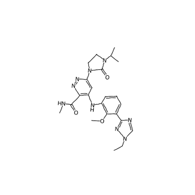 CCn1cnc(-c2cccc(Nc3cc(N4CCN(C(C)C)C4=O)nnc3C(=O)NC)c2OC)n1